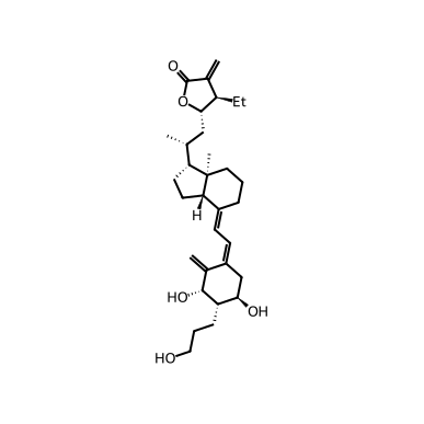 C=C1/C(=C\C=C2/CCC[C@]3(C)[C@@H]([C@H](C)C[C@@H]4OC(=O)C(=C)[C@H]4CC)CC[C@@H]23)C[C@@H](O)[C@H](CCCO)[C@@H]1O